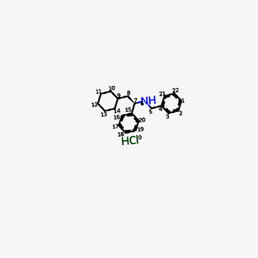 Cl.c1ccc(CN[C@H](CC2CCCCC2)c2ccccc2)cc1